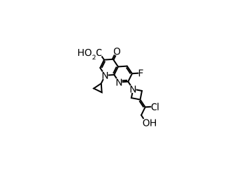 O=C(O)c1cn(C2CC2)c2nc(N3CC(=C(Cl)CO)C3)c(F)cc2c1=O